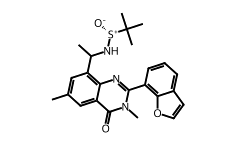 Cc1cc(C(C)N[S@+]([O-])C(C)(C)C)c2nc(-c3cccc4ccoc34)n(C)c(=O)c2c1